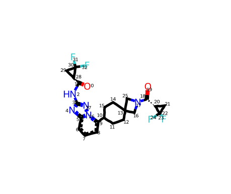 O=C(Nc1nc2cccc(C3CCC4(CC3)CN(C(=O)[C@@H]3CC3(F)F)C4)n2n1)[C@H]1CC1(F)F